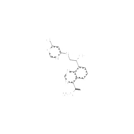 CNC(=O)c1ncnc2c([C@H](C)CNc3cc(Cl)ncn3)cccc12